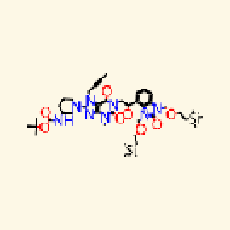 CC#CCn1c(N2CCCC(NC(=O)OC(C)(C)C)C2)nc2c1c(=O)n(CC(=O)c1cccc3c1n(COCC[Si](C)(C)C)c(=O)n3COCC[Si](C)(C)C)c(=O)n2C